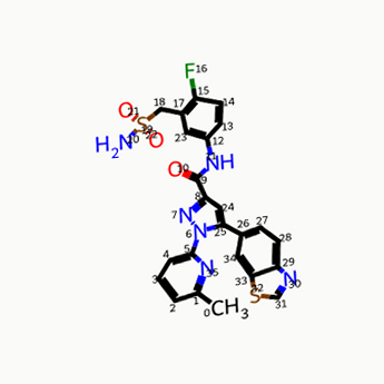 Cc1cccc(-n2nc(C(=O)Nc3ccc(F)c(CS(N)(=O)=O)c3)cc2-c2ccc3ncsc3c2)n1